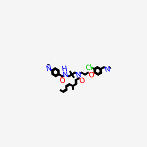 C=NCc1ccc(OCCCN(CC(C)(C)CNC(=O)c2ccc(N=C)cc2)C(=O)/C=C/C(C)/C=C\C=C/C)c(Cl)c1